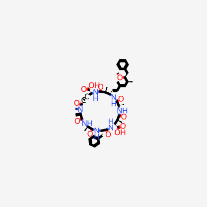 C=C1C(=O)N[C@H](C)C(=O)N[C@@H](Cc2ccccc2)C(=O)N[C@@H](C(=O)O)[C@H](C)C(=O)N[C@@H](C)C(=O)N[C@@H](/C=C/C(C)=C/[C@H](C)[C@H](Cc2ccccc2)OC)[C@H](C)C(=O)N[C@@H](C(=O)O)CCC(=O)N1C